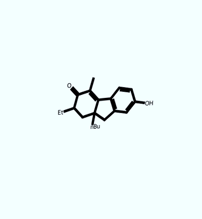 CCCCC12Cc3cc(O)ccc3C1=C(C)C(=O)C(CC)C2